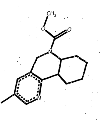 COC(=O)N1Cc2cc(Br)cnc2C2CCCCC21